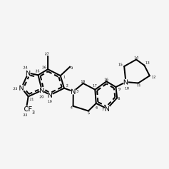 Cc1c(N2CCc3ncc(N4CCCCC4)cc3C2)nn2c(C(F)(F)F)nnc2c1C